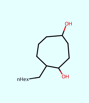 CCCCCCCC1CCCC(O)CCC1O